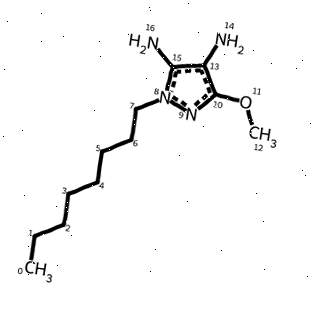 CCCCCCCCn1nc(OC)c(N)c1N